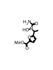 COC(=O)c1ccc(C(C)N(O)C(N)=O)o1